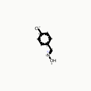 O/N=C/c1ccc(Cl)cc1